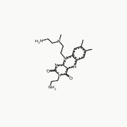 Cc1cc2nc3c(=O)n(CCN)c(=O)nc-3n(CCN(C)CCN)c2cc1C